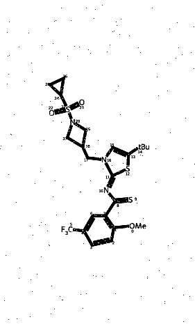 COc1ccc(C(F)(F)F)cc1C(=S)/N=c1\sc(C(C)(C)C)cn1CC1CN(S(=O)(=O)C2CC2)C1